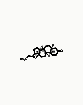 C[C@]12CC[C@@H]3[C@H]4C=CC(=O)C[C@@H]4CC[C@H]3[C@@H]1CC[C@@H]2CCC(=O)O